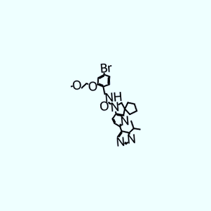 COCCOc1cc(Br)ccc1CNC(=O)N1CC2(CCCC2)c2nc(-c3cncnc3C(C)C)ccc21